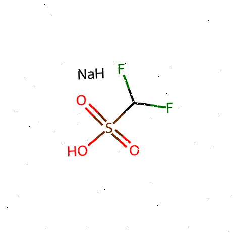 O=S(=O)(O)C(F)F.[NaH]